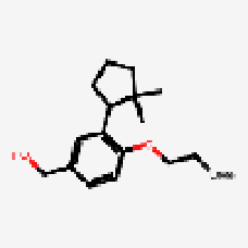 COCCOc1ccc(CO)cc1C1CCCC1(C)C